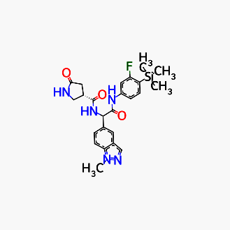 Cn1ncc2cc(C(NC(=O)[C@@H]3CNC(=O)C3)C(=O)Nc3ccc([Si](C)(C)C)c(F)c3)ccc21